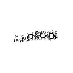 CN(CC(C)(C)C)C1CCN(S(=O)(=O)c2ccc(N3CCC(F)(F)CC3)nc2)CC1